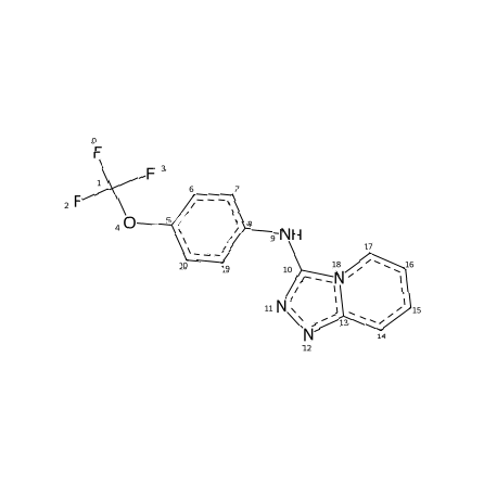 FC(F)(F)Oc1ccc(Nc2nnc3ccccn23)cc1